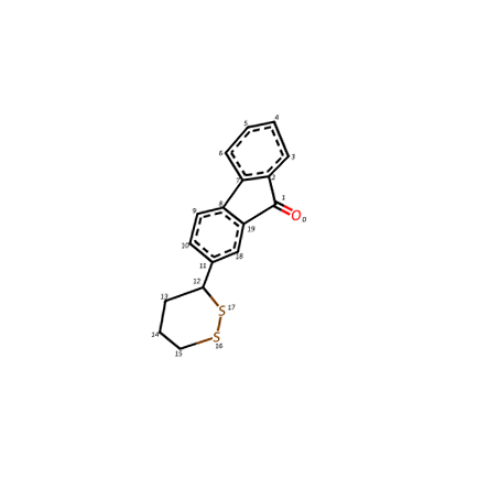 O=C1c2ccccc2-c2ccc(C3CCCSS3)cc21